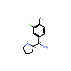 N[C@H](c1ccc(C(F)(F)F)c(F)c1)[C@@H]1CCCN1